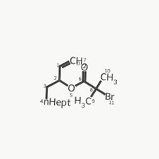 C=CC(CCCCCCCC)OC(=O)C(C)(C)Br